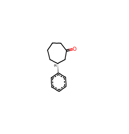 O=C1CCCC[C@@H](c2ccccc2)C1